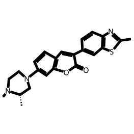 Cc1nc2ccc(-c3cc4ccc(N5CCN(C)[C@@H](C)C5)cc4oc3=O)cc2s1